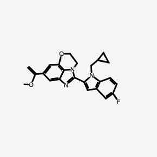 C=C(OC)c1cc2c3c(c1)nc(-c1cc4cc(F)ccc4n1CC1CC1)n3CCO2